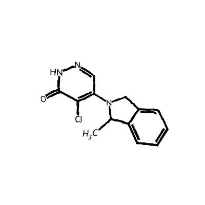 CC1c2ccccc2CN1c1cn[nH]c(=O)c1Cl